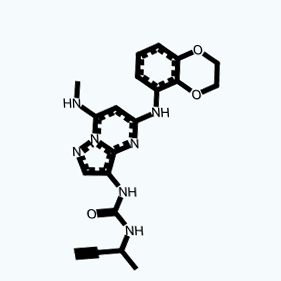 C#CC(C)NC(=O)Nc1cnn2c(NC)cc(Nc3cccc4c3OCCO4)nc12